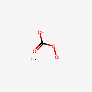 O=C(O)OO.[Ce]